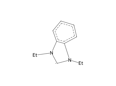 CCN1[CH]N(CC)c2ccccc21